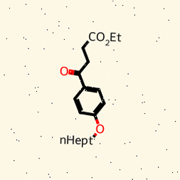 CCCCCCCOc1ccc(C(=O)CCC(=O)OCC)cc1